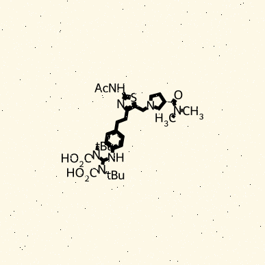 CC(=O)Nc1nc(CCc2ccc(NC(N(C(=O)O)C(C)(C)C)N(C(=O)O)C(C)(C)C)cc2)c(CN2CC[C@H](C(=O)N(C)C)C2)s1